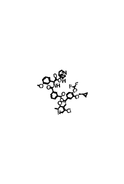 COc1cccc(C(NC(=O)c2cccc(C(=O)O[C@@H](CC3=C(Cl)C=NC(C)C3Cl)c3ccc(OC(F)F)c(OCC4CC4)c3)c2)C(=O)O[C@H]2CN3CCC2CC3)c1